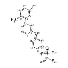 Fc1[c]c(-c2cccc(Oc3cccc(OC(F)(F)C(F)F)c3)c2)c(C(F)(F)F)cc1